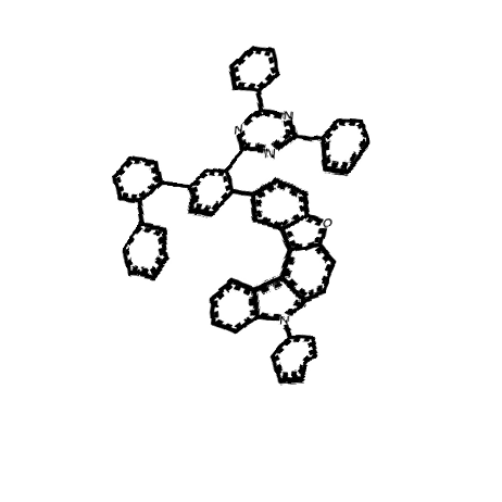 c1ccc(-c2nc(-c3ccccc3)nc(-c3cc(-c4ccccc4-c4ccccc4)ccc3-c3ccc4oc5ccc6c(c7ccccc7n6-c6ccccc6)c5c4c3)n2)cc1